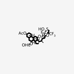 CC(=O)OC1CC[C@@]2(C)C(C1)CC(OC=O)[C@H]1[C@@H]3CC[C@H]([C@H](C)CCC(=O)OC(CS(=O)(=O)O)(C(F)(F)F)C(F)(F)F)[C@@]3(C)C(OC(C)=O)C[C@@H]12